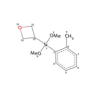 CO[Si](OC)(c1ccccc1C)C1COC1